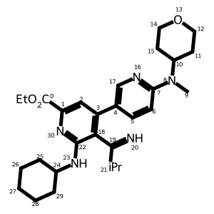 CCOC(=O)c1cc(-c2ccc(N(C)C3CCOCC3)nc2)c(C(=N)C(C)C)c(NC2CCCCC2)n1